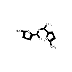 Cc1ccc(C(C)SC(C)c2ccc(C)o2)o1